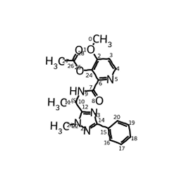 COc1ccnc(C(=O)N[C@@H](C)c2nc(-c3ccccc3)nn2C)c1OC(C)=O